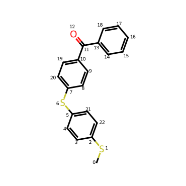 CSc1ccc(Sc2ccc(C(=O)c3ccccc3)cc2)cc1